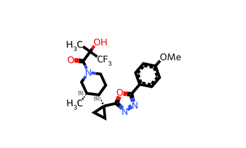 COc1ccc(-c2nnc(C3([C@H]4CCN(C(=O)C(C)(O)C(F)(F)F)C[C@H]4C)CC3)o2)cc1